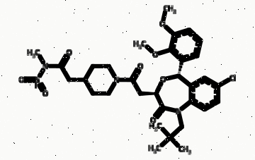 COc1cccc([C@H]2O[C@H](CC(=O)N3CCC(CC(=O)N(C)[SH](=O)=O)CC3)C(=O)N(CC(C)(C)C)c3ccc(Cl)cc32)c1OC